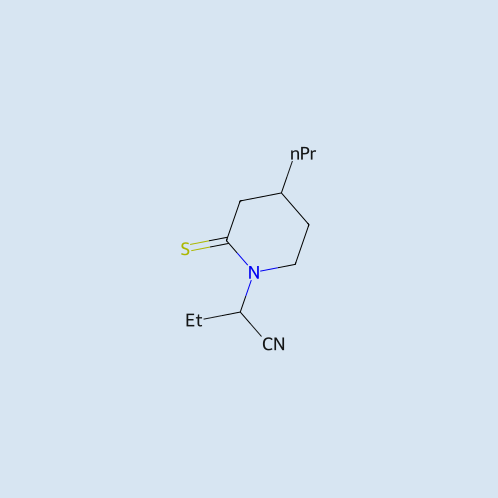 CCCC1CCN(C(C#N)CC)C(=S)C1